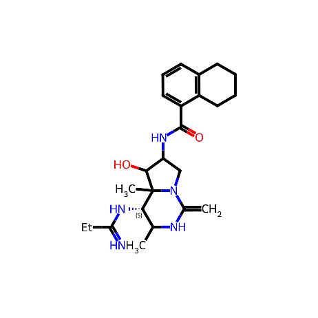 C=C1NC(C)[C@H](NC(=N)CC)C2(C)C(O)C(NC(=O)c3cccc4c3CCCC4)CN12